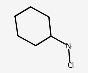 Cl[N]C1CCCCC1